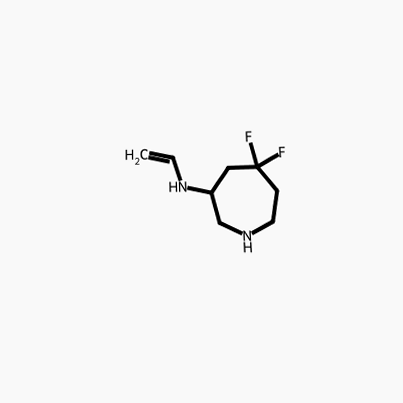 C=CNC1CNCCC(F)(F)C1